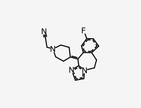 N#CCN1CCC(=C2c3cc(F)ccc3CCn3ccnc32)CC1